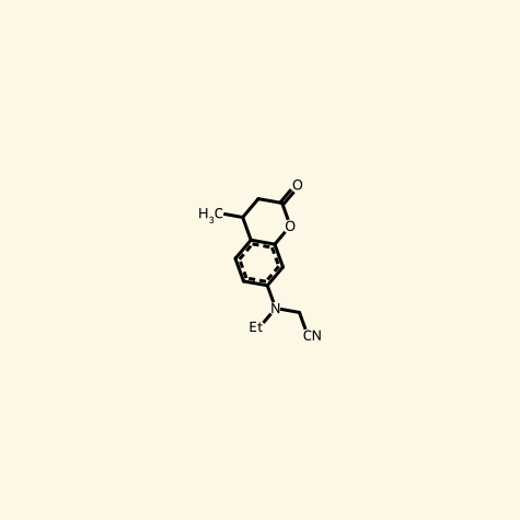 CCN(CC#N)c1ccc2c(c1)OC(=O)CC2C